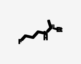 CC[C@@H](C)NCCCF